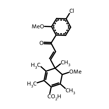 COc1cc(Cl)ccc1C(=O)C=CC1(C)C(C)=C(C)C(C(=O)O)=C(C)C1OC